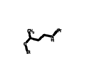 CCOC(C)CCNC(C)C